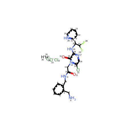 NCc1ccccc1CNC(=O)Cn1c(Cl)cnc(NC([c+]2cccc[nH]2)C(F)F)c1=O.[Cl-].[Cl-].[Cl-].[H+].[H+]